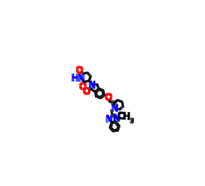 Cn1c(CN2CCCC[C@@H]2COc2ccc3c(c2)CN(C2CCC(=O)NC2=O)C3=O)nc2ccccc21